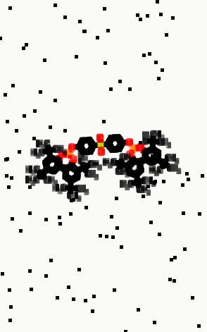 CC(C)(C)c1cc(C(C)(C)C)c2op(Oc3ccc(S(=O)(=O)c4ccc(Op5oc6c(C(C)(C)C)cc(C(C)(C)C)cc6c6cc(C(C)(C)C)cc(C(C)(C)C)c6o5)cc4)cc3)oc3c(C(C)(C)C)cc(C(C)(C)C)cc3c2c1